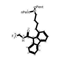 CCCCCN(CCCCC)CCCCc1cccc2c1C(C(=O)NCC(F)(F)F)c1ccccc1-2